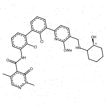 COc1nc(-c2cccc(-c3cccc(NC(=O)c4c(C)cnn(C)c4=O)c3Cl)c2Cl)ccc1CNC1CCCC[C@@H]1O